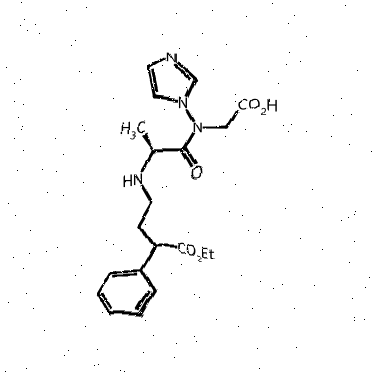 CCOC(=O)C(CCN[C@@H](C)C(=O)N(CC(=O)O)n1ccnc1)c1ccccc1